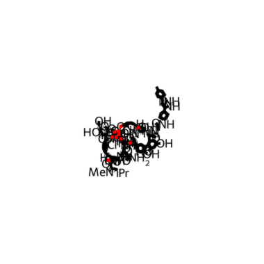 CN[C@H](CC(C)C)C(=O)N[C@H]1C(=O)N[C@@H](CC(N)=O)C(=O)NC2C(=O)N[C@H]3C(=O)N[C@H](C(=O)NC(C(=O)NCC(=O)Nc4ccc(C5=CN(c6ccc(C)cc6)NN5)cc4)c4cc(O)cc(O)c4-c4cc3ccc4O)[C@H](O)c3ccc(c(Cl)c3)Oc3cc2cc(c3O[C@@H]2O[C@H](CO)[C@@H](O)[C@H](O)[C@H]2OC2C[C@](C)(N)[C@H](O)[C@H](C)O2)Oc2ccc(cc2Cl)[C@H]1O